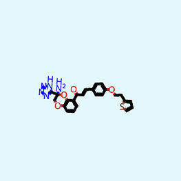 NC1(c2nnn[nH]2)COc2cccc(C(=O)C=Cc3ccc(OCCc4cccs4)cc3)c2O1